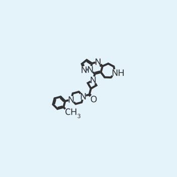 Cc1ccccc1N1CCN(C(=O)C2CN(c3c4c(nc5ccnn35)CCNCC4)C2)CC1